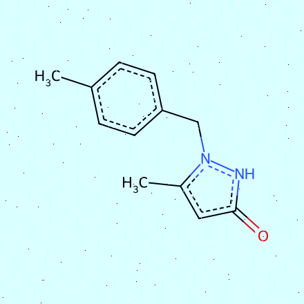 Cc1ccc(Cn2[nH]c(=O)cc2C)cc1